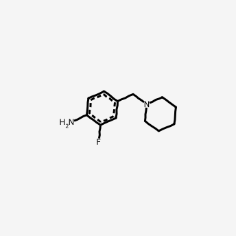 Nc1ccc(CN2CCCCC2)cc1F